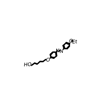 CCOc1ccc(N=Nc2ccc(OCCCCCCO)cc2)cc1